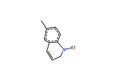 CCN1CC=Cc2cc(C)ccc21